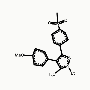 CCn1nc(-c2ccc(S(C)(=O)=O)cc2)c(-c2ccc(OC)cc2)c1C(F)(F)F